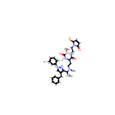 CC(=O)N(CCC(NC(=O)OC(C)(C)C)C(=O)NCCN1C(=O)C=CC1=O)C(c1nn(-c2cc(F)ccc2F)cc1Cc1ccccc1)C(C)(C)C